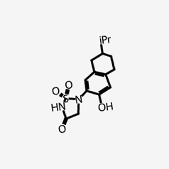 CC(C)C1CCc2cc(O)c(N3CC(=O)NS3(=O)=O)cc2C1